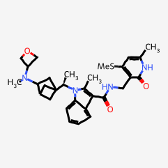 CSc1cc(C)[nH]c(=O)c1CNC(=O)c1c(C)n([C@H](C)C23CC(C2)C(N(C)C2COC2)C3)c2ccccc12